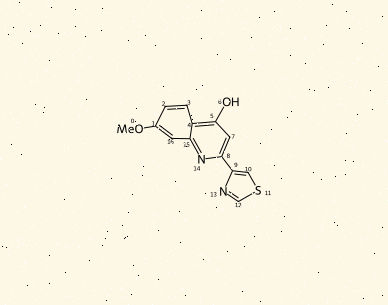 COc1ccc2c(O)cc(-c3cscn3)nc2c1